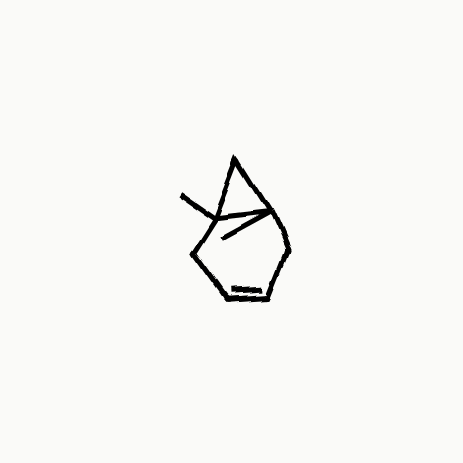 CC12CC=CCC1(C)C2